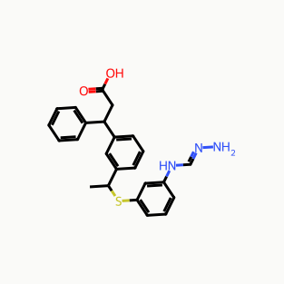 CC(Sc1cccc(NC=NN)c1)c1cccc(C(CC(=O)O)c2ccccc2)c1